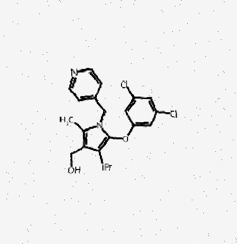 Cc1c(CO)c(C(C)C)c(Oc2cc(Cl)cc(Cl)c2)n1Cc1ccncc1